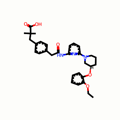 CCOc1ccccc1O[C@@H]1CCCN(c2cccc(NC(=O)Cc3ccc(CC(C)(C)C(=O)O)cc3)n2)C1